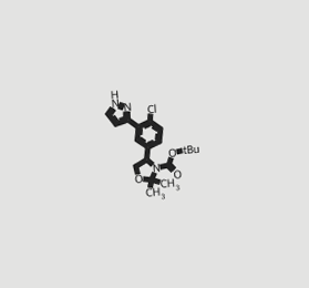 CC(C)(C)OC(=O)N1C(c2ccc(Cl)c(-c3cc[nH]n3)c2)COC1(C)C